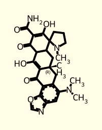 CN(C)c1cc2ncoc2c2c1C[C@@]1(C)CC3C(C(=O)C(C(N)=O)=C(O)C34CCCN4C)C(O)=C1C2=O